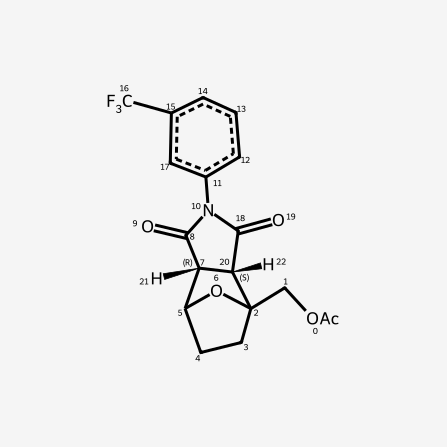 CC(=O)OCC12CCC(O1)[C@@H]1C(=O)N(c3cccc(C(F)(F)F)c3)C(=O)[C@@H]12